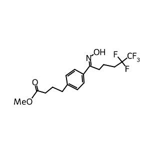 COC(=O)CCCc1ccc(C(CCCC(F)(F)C(F)(F)F)=NO)cc1